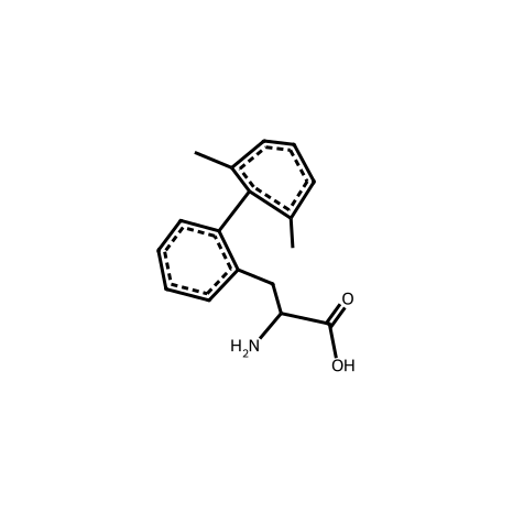 Cc1cccc(C)c1-c1ccccc1CC(N)C(=O)O